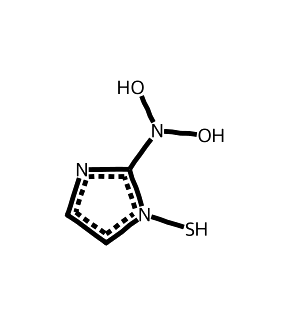 ON(O)c1nccn1S